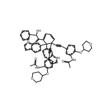 CC(=O)Nc1cc(C#CC2(C#Cc3ccc(OC4CCOCC4)c(NC(C)=O)c3)C=CC=C(C(=O)C(O)c3ccccc3)C2(c2ccc3cc[nH]c3c2)c2ccc3cc[nH]c3c2)ccc1OC1CCOCC1